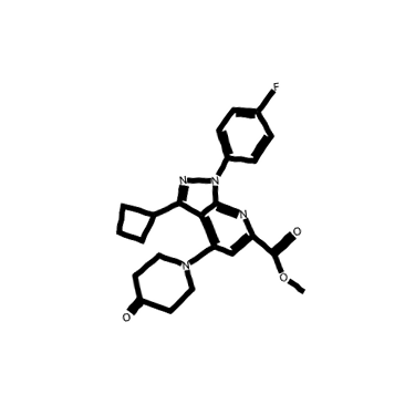 COC(=O)c1cc(N2CCC(=O)CC2)c2c(C3CCC3)nn(-c3ccc(F)cc3)c2n1